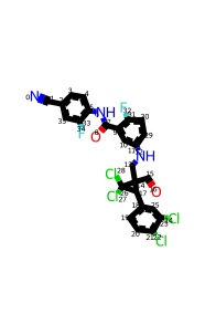 N#Cc1ccc(NC(=O)c2cc(NCC3(C=O)C(c4ccc(Cl)c(Cl)c4)C3(Cl)Cl)ccc2F)c(F)c1